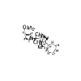 COCc1ccn(C(C)(C)c2nnc(C3CCCCCC3)n2C)c1